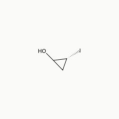 OC1C[C@H]1I